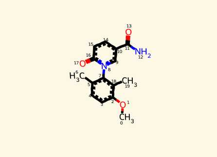 COc1ccc(C)c(-n2cc(C(N)=O)ccc2=O)c1C